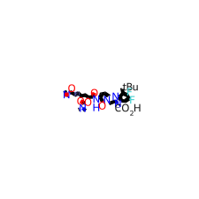 CN(C)C(=O)/C=C/CCC(OC(=O)N(C)C)C(=O)Nc1cccn(Cc2nc3c(CC(C)(C)C)c(F)c(F)cc3n2C(=O)O)c1=O